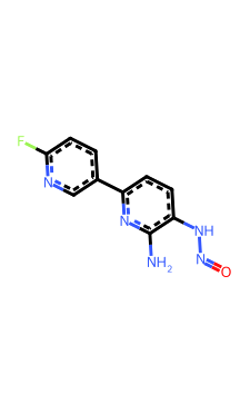 Nc1nc(-c2ccc(F)nc2)ccc1NN=O